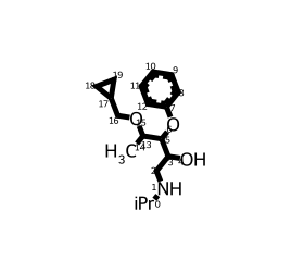 CC(C)NCC(O)C(Oc1ccccc1)C(C)OCC1CC1